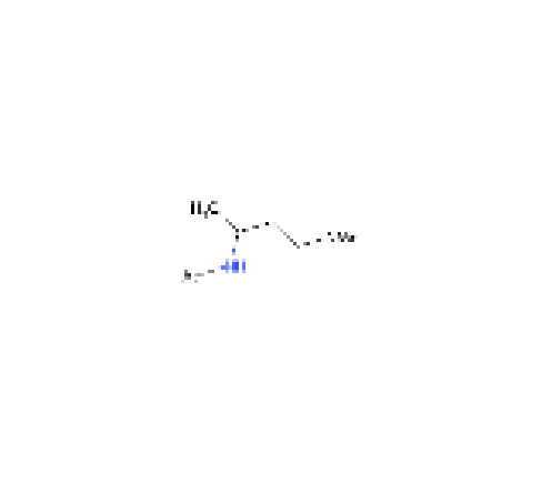 CNCCC(C)NC(C)=O